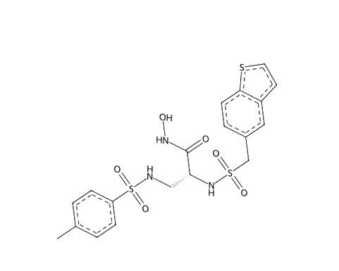 Cc1ccc(S(=O)(=O)NC[C@@H](NS(=O)(=O)Cc2ccc3sccc3c2)C(=O)NO)cc1